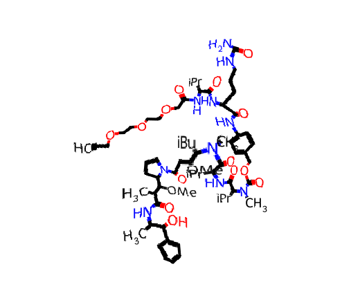 C#CCOCCOCCOCC(=O)NC(C(=O)NC(CCCNC(N)=O)C(=O)Nc1ccc(COC(=O)N(C)C(C(=O)NC(C(=O)N(C)C(C(C)CC)C(CC(=O)N2CCCC2C(OC)C(C)C(=O)NC(C)C(O)c2ccccc2)OC)C(C)C)C(C)C)cc1)C(C)C